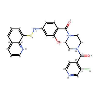 O=C(c1ccc(NSc2cccc3cccnc23)cc1O)N1CCN(C(=O)c2ccncc2Cl)CC1